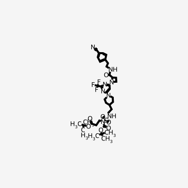 CC(C)(C)OC(=O)CCN(C(=O)OC(C)(C)C)S(=O)(=O)NCCC1CCN(c2cc(N3CCC3C(=O)NCCc3ccc(C#N)cc3)nc(C(F)(F)F)n2)CC1